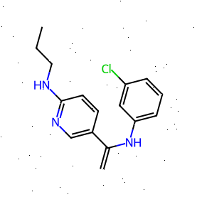 C=C(Nc1cccc(Cl)c1)c1ccc(NCCC)nc1